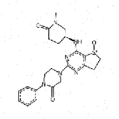 CN1C[C@@H](Nc2nc(N3CCN(c4ccccc4)C(=O)C3)nc3c2[S+]([O-])CC3)CCC1=O